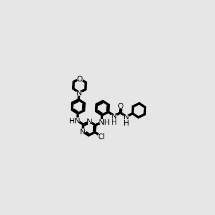 O=C(Nc1ccccc1Nc1nc(Nc2ccc(N3CCOCC3)cc2)ncc1Cl)NC1CCCCC1